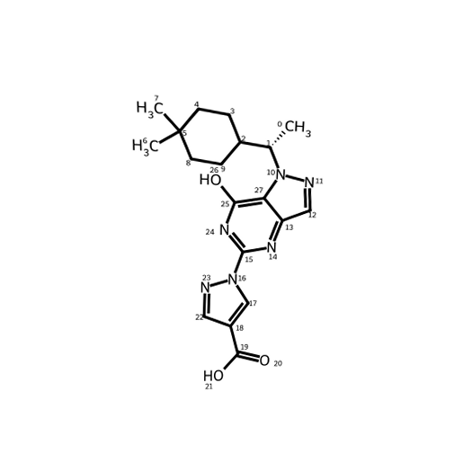 C[C@@H](C1CCC(C)(C)CC1)n1ncc2nc(-n3cc(C(=O)O)cn3)nc(O)c21